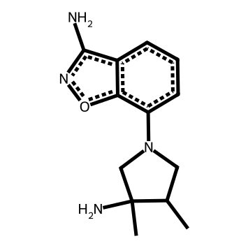 CC1CN(c2cccc3c(N)noc23)CC1(C)N